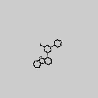 Ic1cc(-c2ccncc2)cc(-c2cccc3c2oc2ccccc23)c1